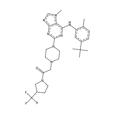 Cc1ccc(C(C)(C)C)cc1Nc1nc(N2CCN(CC(=O)N3CCC(C(F)(F)F)C3)CC2)nc2ncn(C)c12